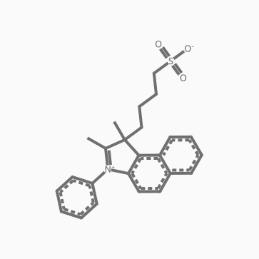 CC1=[N+](c2ccccc2)c2ccc3ccccc3c2C1(C)CCCCS(=O)(=O)[O-]